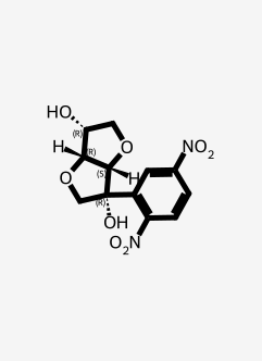 O=[N+]([O-])c1ccc([N+](=O)[O-])c([C@@]2(O)CO[C@@H]3[C@H](O)CO[C@@H]32)c1